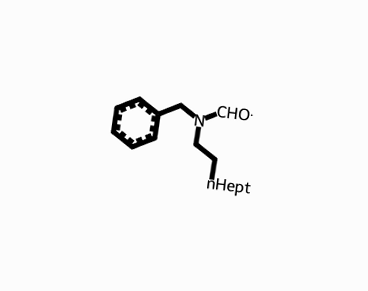 CCCCCCCCCN([C]=O)Cc1ccccc1